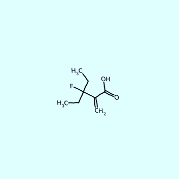 C=C(C(=O)O)C(F)(CC)CC